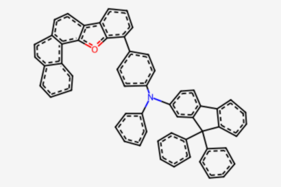 c1ccc(N(c2ccc(-c3cccc4c3oc3c4ccc4ccc5ccccc5c43)cc2)c2ccc3c(c2)C(c2ccccc2)(c2ccccc2)c2ccccc2-3)cc1